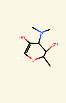 CC1OC=C(O)C(N(C)C)C1O